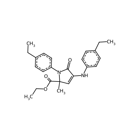 CCOC(=O)C1(C)C=C(Nc2ccc(CC)cc2)C(=O)N1c1ccc(CC)cc1